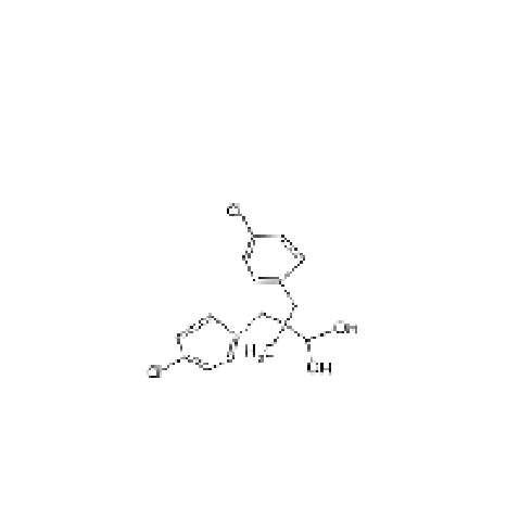 CC(Cc1ccc(Cl)cc1)(Cc1ccc(Cl)cc1)C(O)O